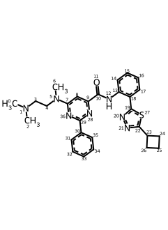 CN(C)CCN(C)c1cc(C(=O)Nc2ccccc2-c2nnc(C3CCC3)s2)nc(-c2ccccc2)n1